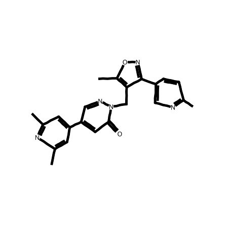 Cc1ccc(-c2noc(C)c2Cn2ncc(-c3cc(C)nc(C)c3)cc2=O)cn1